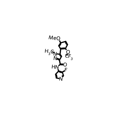 COc1ccc(OC(F)(F)F)c(-c2cc(C(=O)Nc3ccncc3F)nn2C)c1